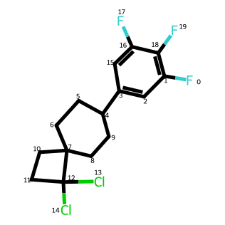 Fc1cc(C2CCC3(CC2)CCC3(Cl)Cl)cc(F)c1F